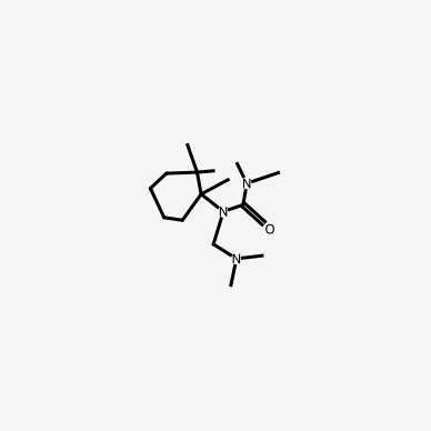 CN(C)CN(C(=O)N(C)C)C1(C)CCCCC1(C)C